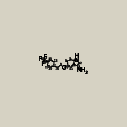 Nc1c[nH]c2ccc(OCCc3ccc(C(F)(F)F)cc3)cc12